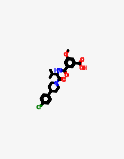 COc1cc(C(=O)O)cc(C(=O)N[C@@H](C(=O)N2CCC(c3ccc(Cl)cc3)CC2)C(C)C)c1